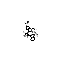 CCn1cc(C2=C(c3cn(P(=O)(O)O)c4ccccc34)C(=O)NC2=O)c2ccc([N+](=O)[O-])cc21